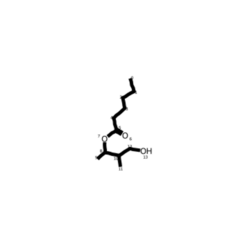 CCCCCC(=O)OC(C)C(C)CO